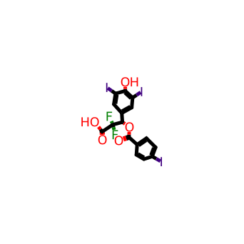 O=C(OC(c1cc(I)c(O)c(I)c1)C(F)(F)C(=O)O)c1ccc(I)cc1